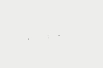 C=CCC(C)CC(C)NCCOCCOC